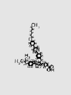 CCCCCCCOc1ccc(-c2cnc(-c3ccc(C[C@H](NC(=O)c4ccc(CC(C)C)cc4)C(=O)N4CC[C@H](C(=O)O)C4)cc3)nc2)cc1